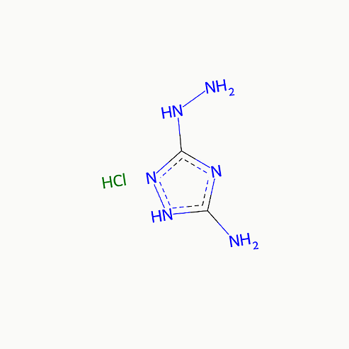 Cl.NNc1n[nH]c(N)n1